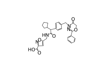 O=C(O)c1cc(CNC(=O)C(c2ccc(CN3N=C(c4ccccc4)OCC3=O)cc2)C2CCCC2)on1